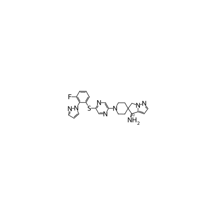 N[C@@H]1c2ccnn2CC12CCN(c1cnc(Sc3cccc(F)c3-n3cccn3)cn1)CC2